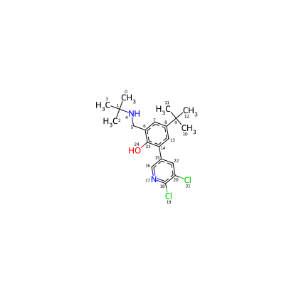 CC(C)(C)NCc1cc(C(C)(C)C)cc(-c2cnc(Cl)c(Cl)c2)c1O